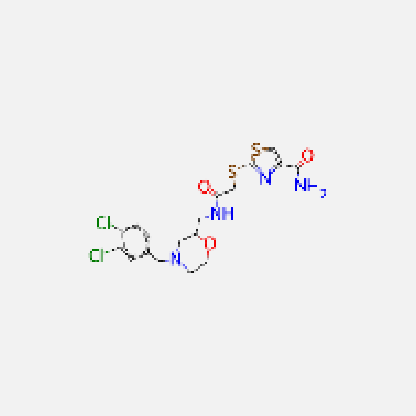 NC(=O)c1csc(SCC(=O)NCC2CN(Cc3ccc(Cl)c(Cl)c3)CCO2)n1